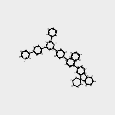 c1ccc(-c2nc(-c3ccc(-c4cccnc4)cc3)cc(-c3ccc(-c4ccc(-c5ccc6c(c5)C5(CCCCC5)c5ccccc5-6)c5ccccc45)cc3)n2)cc1